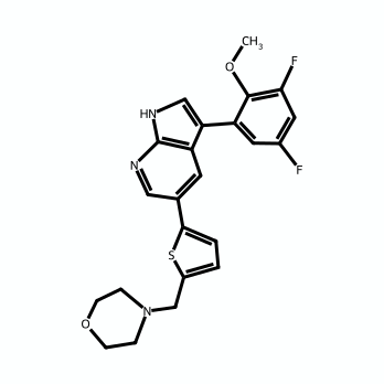 COc1c(F)cc(F)cc1-c1c[nH]c2ncc(-c3ccc(CN4CCOCC4)s3)cc12